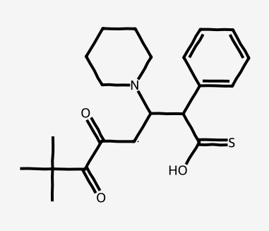 CC(C)(C)C(=O)C(=O)[CH]C(C(C(O)=S)c1ccccc1)N1CCCCC1